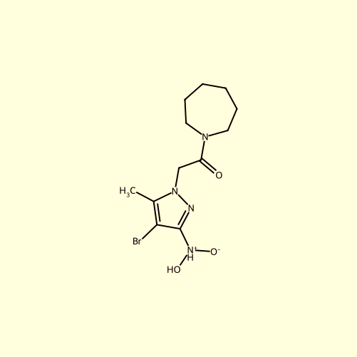 Cc1c(Br)c([NH+]([O-])O)nn1CC(=O)N1CCCCCC1